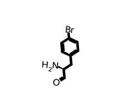 N[C@H](C=O)Cc1ccc(Br)cc1